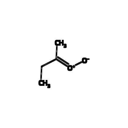 CCC(C)=[O+][O-]